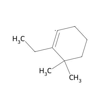 CCC1=[C]CCCC1(C)C